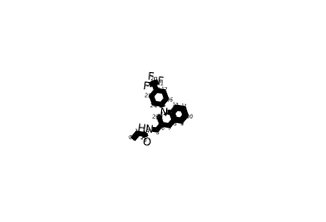 C=CC(=O)NCC1Cc2ccccc2N(C2CCC(C(F)(F)F)CC2)C1